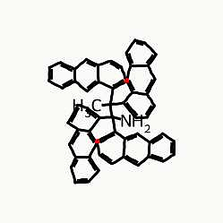 CC(c1cccc2cc3ccccc3cc12)(c1cccc2cc3ccccc3cc12)C(N)(c1cccc2cc3ccccc3cc12)c1cccc2cc3ccccc3cc12